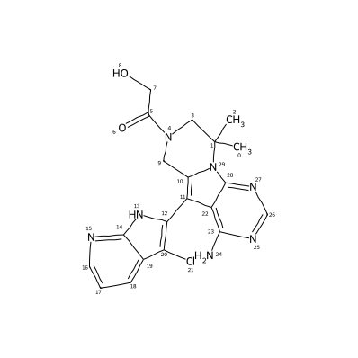 CC1(C)CN(C(=O)CO)Cc2c(-c3[nH]c4ncccc4c3Cl)c3c(N)ncnc3n21